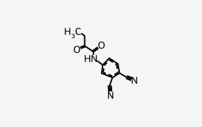 CCC(=O)C(=O)Nc1ccc(C#N)c(C#N)c1